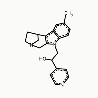 Cc1ccc2c(c1)c1c(n2CC(O)c2ccncc2)CN2CCC1C2